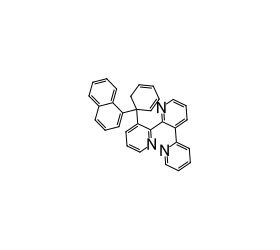 C1=CCC(c2cccnc2-c2ncccc2-c2ccccn2)(c2cccc3ccccc23)C=C1